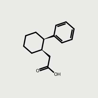 O=C(O)C[C@H]1CCCC[C@H]1c1ccccc1